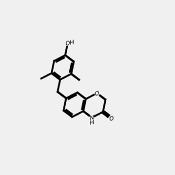 Cc1cc(O)cc(C)c1Cc1ccc2c(c1)OCC(=O)N2